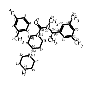 Cc1cc(F)ccc1[C@H]1C[C@@H](N2CCNCC2)CCN1C(=O)N(C)[C@H](C)c1cc(C(F)(F)F)cc(C(F)(F)F)c1